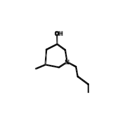 CCCCN1CC(C)CC(O)C1